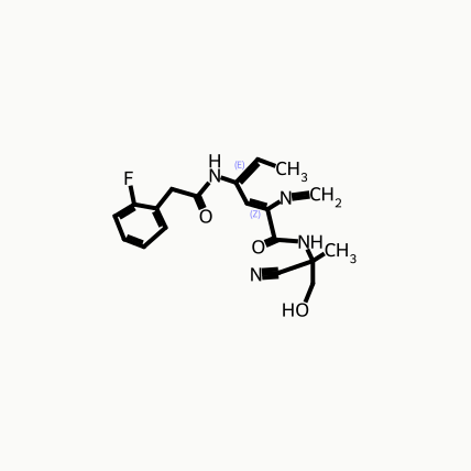 C=N/C(=C\C(=C/C)NC(=O)Cc1ccccc1F)C(=O)NC(C)(C#N)CO